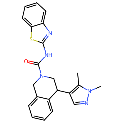 Cc1c(C2CN(C(=O)Nc3nc4ccccc4s3)Cc3ccccc32)cnn1C